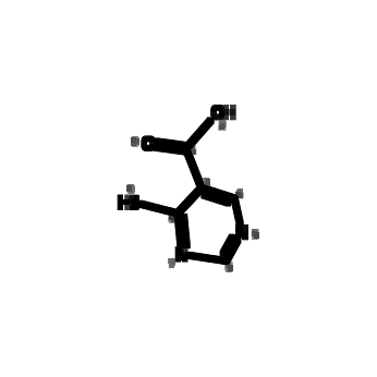 O=C(O)c1cncnc1S